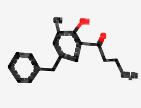 CCOC(=O)CCC(=O)c1cc(Cc2ccccc2)cc(C#N)c1O